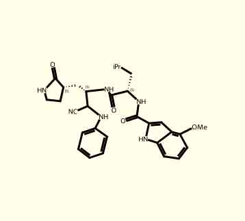 COc1cccc2[nH]c(C(=O)N[C@@H](CC(C)C)C(=O)N[C@@H](C[C@@H]3CCNC3=O)C(C#N)Nc3ccccc3)cc12